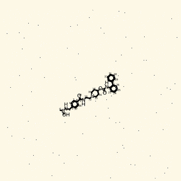 CB(O)NCc1ccc(C(=O)NCCN2CCC(OC(=O)Nc3ccccc3-c3ccccc3)CC2)cc1